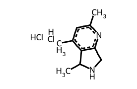 Cc1cc(C)c2c(n1)CNC2C.Cl.Cl